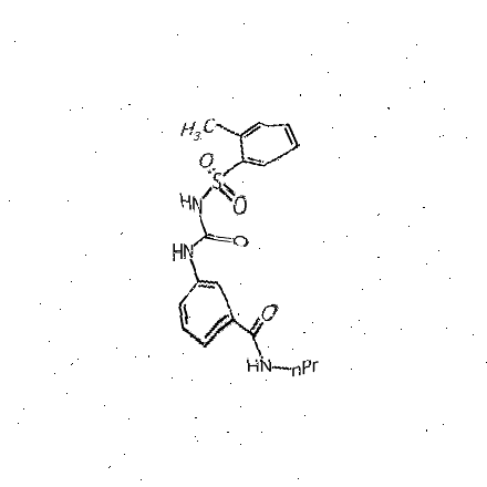 CCCNC(=O)c1cccc(NC(=O)NS(=O)(=O)c2ccccc2C)c1